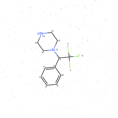 FC(F)(F)[C](c1ccccc1)N1CCNCC1